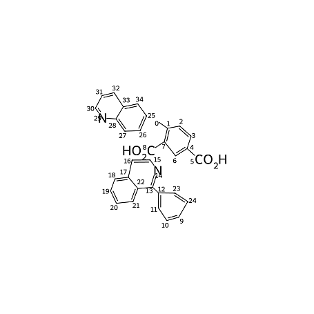 Cc1ccc(C(=O)O)cc1C(=O)O.c1ccc(-c2nccc3ccccc23)cc1.c1ccc2ncccc2c1